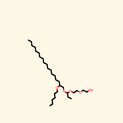 CCCCCCCCCCCCCCCCC(COC(CC)OCCOCCO)OCCCCCC